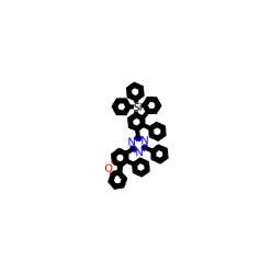 c1ccc(-c2nc(-c3ccc4c(c3-c3ccccc3)-c3ccccc3[Si]4(c3ccccc3)c3ccccc3)nc(-c3ccc4oc5ccccc5c4c3-c3ccccc3)n2)cc1